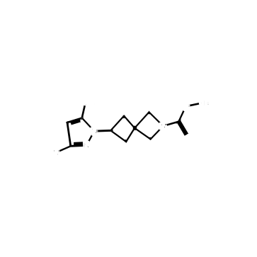 CC(C)(C)OC(=O)N1CC2(CC(n3nc(N)cc3C(F)(F)F)C2)C1